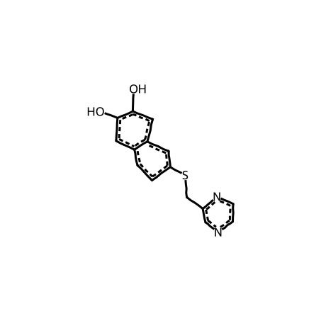 Oc1cc2ccc(SCc3cnccn3)cc2cc1O